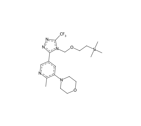 Cc1ncc(-c2nnc(C(F)(F)F)n2COCC[Si](C)(C)C)cc1N1CCOCC1